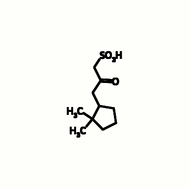 CC1(C)CCCC1CC(=O)CS(=O)(=O)O